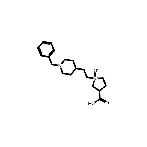 O=C(O)C1CC[N+]([O-])(CCC2CCN(Cc3ccccc3)CC2)C1